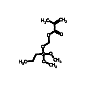 C=C(C)C(=O)OCO[Si](CCC)(OC)OC